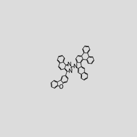 c1ccc2cc3c(cc2c1)c1c2c4ccccc4c4ccccc4c2ccc1n3-c1nc(-c2ccc3oc4ccccc4c3c2)c2ccc3ccccc3c2n1